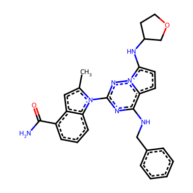 Cc1cc2c(C(N)=O)cccc2n1-c1nc(NCc2ccccc2)c2ccc(NC3CCOC3)n2n1